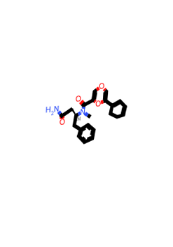 CN(C(=O)C1=COC=C(C2=CC=CCC2)O1)[C@H](CC(N)=O)Cc1ccccc1